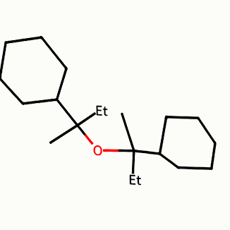 CCC(C)(OC(C)(CC)C1CCCCC1)C1CCCCC1